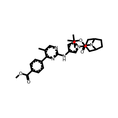 COC(=O)c1ccc(-c2nc(Nc3cnn(C4CC5CCC(C4)N5C(=O)OC(C)(C)C)c3)ncc2C)cc1